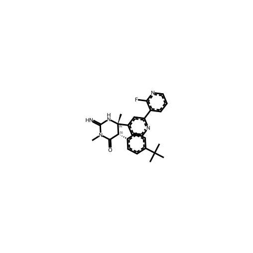 CN1C(=N)N[C@](C)(c2ccnc(-c3cccnc3F)c2)[C@H](c2ccc(C(C)(C)C)cc2)C1=O